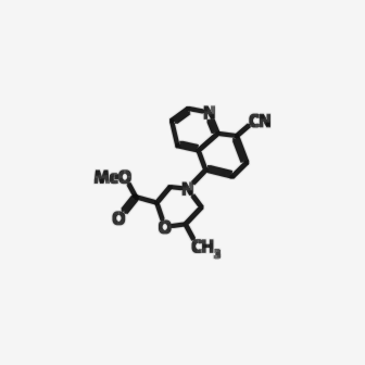 COC(=O)C1CN(c2ccc(C#N)c3ncccc23)CC(C)O1